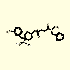 Cc1cccc(CC2(N(C)C)CCC(NC(=O)CCC(=O)N(C)Cc3ccccc3)CC2)c1